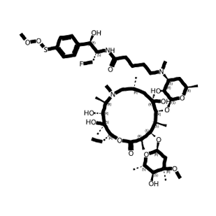 CC[C@H]1OC(=O)[C@H](C)[C@@H](O[C@H]2C[C@@](C)(OC)[C@@H](O)[C@H](C)O2)[C@H](C)[C@@H](O[C@@H]2O[C@H](C)C[C@H](N(C)CCCCC(=O)N[C@H](CF)[C@H](O)c3ccc(SOOC)cc3)[C@H]2O)[C@](C)(O)C[C@@H](C)CN(C)[C@H](C)[C@@H](O)[C@]1(C)O